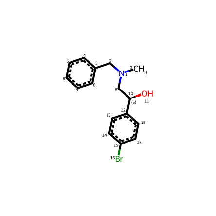 CN(Cc1ccccc1)C[C@@H](O)c1ccc(Br)cc1